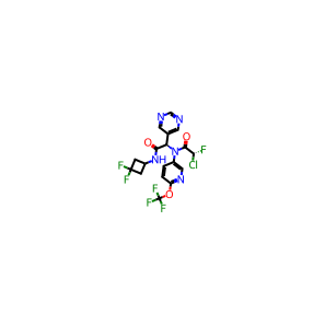 O=C(NC1CC(F)(F)C1)[C@@H](c1cncnc1)N(C(=O)[C@H](F)Cl)c1ccc(OC(F)(F)F)nc1